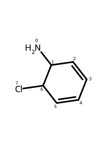 NC1C=CC=C[C]1Cl